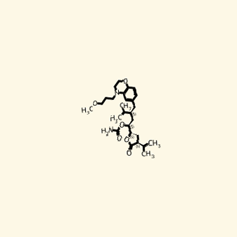 COCCCN1CCOc2ccc(C[C@@H](C[C@H](OC(N)=O)[C@@H]3C[C@@H](C(C)C)C(=O)O3)C(C)C)cc21